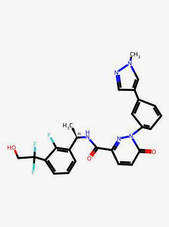 C[C@@H](NC(=O)c1ccc(=O)n(-c2cccc(-c3cnn(C)c3)c2)n1)c1cccc(C(F)(F)CO)c1F